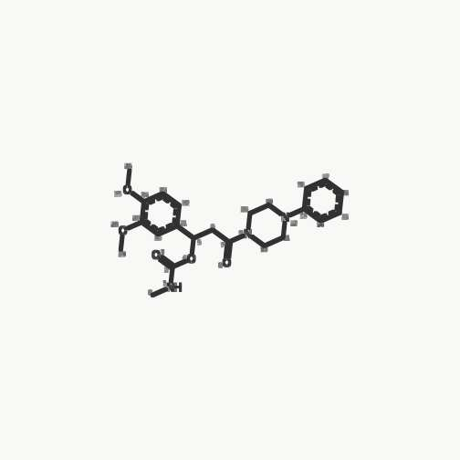 CNC(=O)OC(CC(=O)N1CCN(c2ccccc2)CC1)c1ccc(OC)c(OC)c1